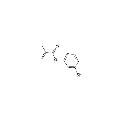 C=C(C)C(=O)Oc1cccc(S)c1